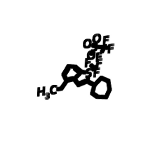 CCc1cccc2c1cc(C1CCCCCC1)[s+]2C(F)(F)F.O=S(=O)([O-])C(F)(F)F